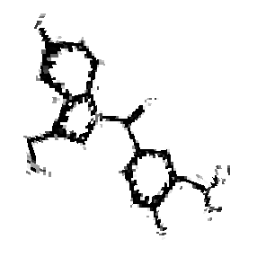 NCc1cn(C(=O)c2ccc(Cl)c(N(O)O)c2)c2ccc(F)cc12